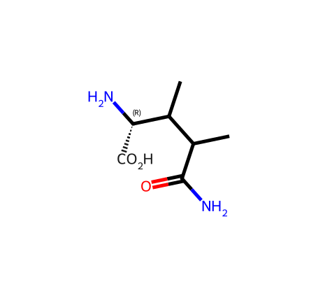 CC(C(N)=O)C(C)[C@@H](N)C(=O)O